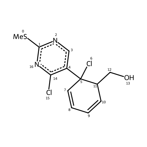 CSc1ncc(C2(Cl)C=CC=CC2CO)c(Cl)n1